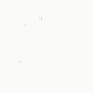 C=CCC1=CC(C2(c3ccc(O)c(CC)c3)c3ccccc3-c3ccccc32)CC=C1O